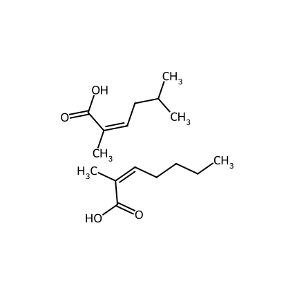 CC(=CCC(C)C)C(=O)O.CCCCC=C(C)C(=O)O